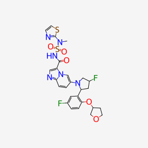 CN(c1nccs1)S(=O)(=O)NC(=O)c1cnc2ccc(N3CC(F)CC3c3cc(F)ccc3OC3CCOC3)cn12